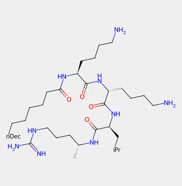 CCCCCCCCCCCCCCCC(=O)N[C@@H](CCCCN)C(=O)N[C@H](CCCCN)C(=O)N[C@@H](CC(C)C)C(=O)N[C@H](C)CCCNC(=N)N